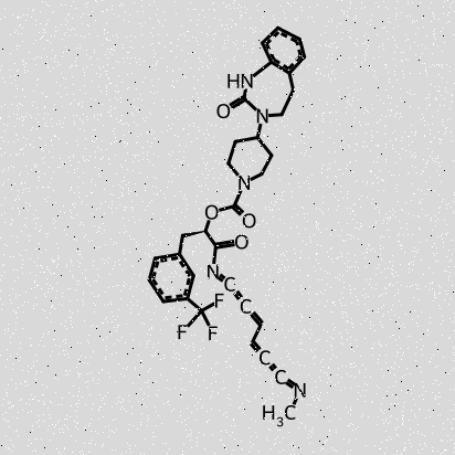 CN=C=C=CC=C=C=NC(=O)[C@@H](Cc1cccc(C(F)(F)F)c1)OC(=O)N1CCC(N2CCc3ccccc3NC2=O)CC1